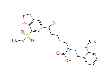 CNS(=O)(=O)c1cc(C(=O)CCCCN(CCc2ccccc2OC)C(=O)O)cc2c1OCC2